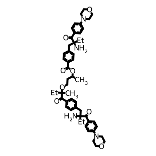 CCC(N)(Cc1ccc(C(=O)OC(C)CCOC(C)(CC)C(=O)c2ccc(CC(N)(CC)C(=O)c3ccc(N4CCOCC4)cc3)cc2)cc1)C(=O)c1ccc(N2CCOCC2)cc1